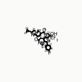 CCOc1c(CC(N)=O)cc([C@@](O)(CNC(=O)c2ccc3nc(C4CC4)cn3n2)C(F)(F)F)nc1-c1ccc(F)cc1